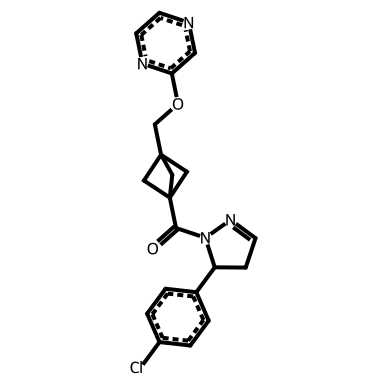 O=C(N1N=CCC1c1ccc(Cl)cc1)C12CC(COc3cnccn3)(C1)C2